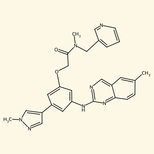 Cc1ccc2nc(Nc3cc(OCC(=O)N(C)Cc4cccnc4)cc(-c4cnn(C)c4)c3)ncc2c1